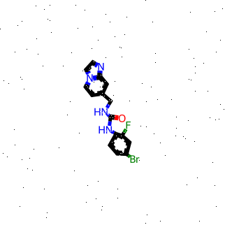 O=C(NCc1ccn2ccnc2c1)Nc1ccc(Br)cc1F